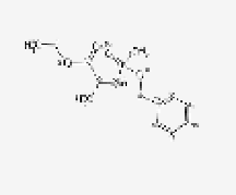 CCOC(=O)C(C)NP(C)(=O)OCc1ccccc1